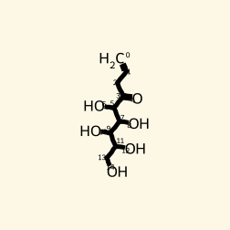 C=CCC(=O)C(O)C(O)C(O)C(O)CO